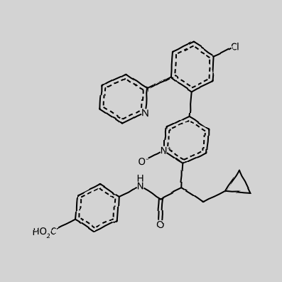 O=C(O)c1ccc(NC(=O)C(CC2CC2)c2ccc(-c3cc(Cl)ccc3-c3ccccn3)c[n+]2[O-])cc1